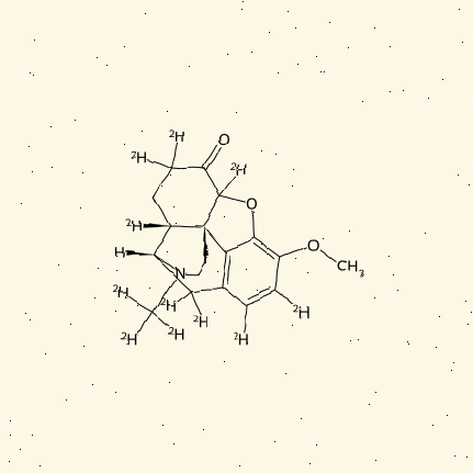 [2H]c1c([2H])c2c3c(c1OC)OC1([2H])C(=O)C([2H])([2H])C[C@@]4([2H])[C@H](N(C([2H])([2H])[2H])CC[C@]314)C2([2H])[2H]